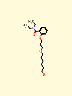 CCN(CC)C(=O)c1ccccc1OCCCOCCCCCCBr